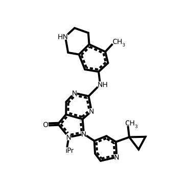 Cc1cc(Nc2ncc3c(=O)n(C(C)C)n(-c4ccnc(C5(C)CC5)c4)c3n2)cc2c1CCNC2